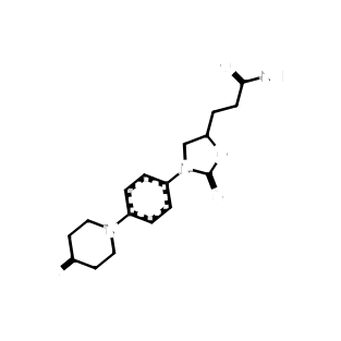 NC(=O)CCC1CN(c2ccc(N3CCC(=O)CC3)cc2)C(=O)O1